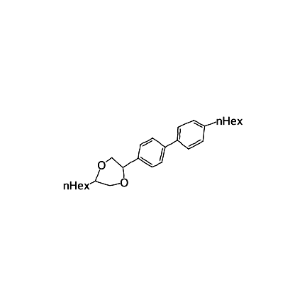 CCCCCCc1ccc(-c2ccc(C3COC(CCCCCC)CO3)cc2)cc1